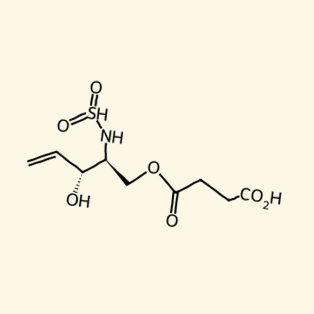 C=C[C@@H](O)[C@H](COC(=O)CCC(=O)O)N[SH](=O)=O